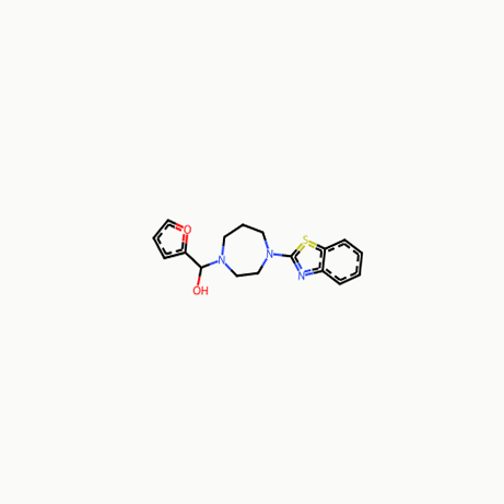 OC(c1ccco1)N1CCCN(c2nc3ccccc3s2)CC1